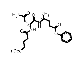 CCCCCCCCCCCCCC(=O)N[C@H](CC(N)=O)C(=O)N[C@@H](C)CCC(=O)Oc1ccccc1